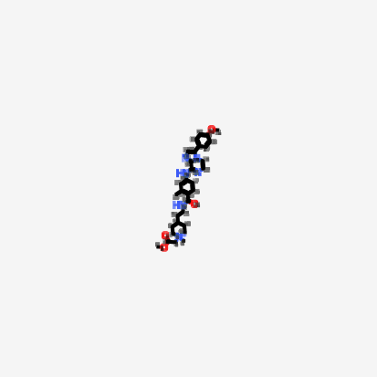 COC(=O)C[N+]1(C)CCC(CCNC(=O)c2ccc(Nc3nccn4c(-c5ccc(OC)cc5)cnc34)cc2C)CC1